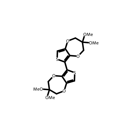 COC1(OC)COc2csc(-c3scc4c3OCC(OC)(OC)CO4)c2OC1